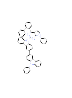 c1ccc(-c2ccccc2-c2nc(-n3c4ccccc4c4cc(-c5ccc6c(c5)c5ccccc5n6-c5ccccc5)ccc43)nc3c2ccn3-c2ccccc2)cc1